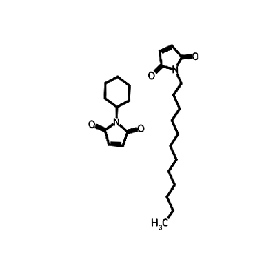 CCCCCCCCCCCCN1C(=O)C=CC1=O.O=C1C=CC(=O)N1C1CCCCC1